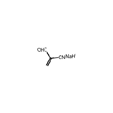 C=C(C#N)C=O.[NaH]